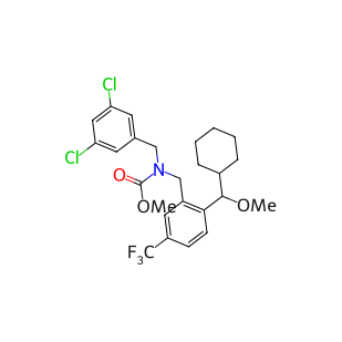 COC(=O)N(Cc1cc(Cl)cc(Cl)c1)Cc1cc(C(F)(F)F)ccc1C(OC)C1CCCCC1